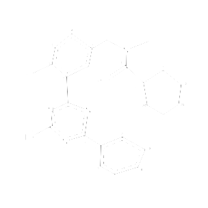 CN(Cc1ccc(Cl)c(-c2nc(O)nc(-c3ccccc3)n2)c1)C(=O)C1CCCCC1